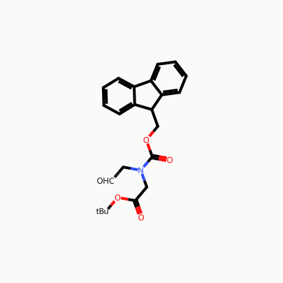 CC(C)(C)OC(=O)CN(CC=O)C(=O)OCC1c2ccccc2-c2ccccc21